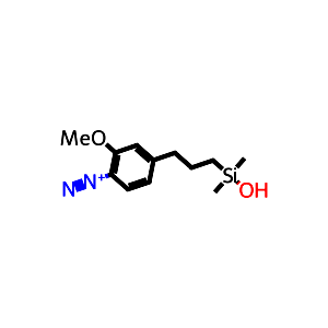 COc1cc(CCC[Si](C)(C)O)ccc1[N+]#N